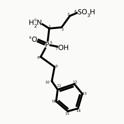 NC(CCS(=O)(=O)O)P(=O)(O)CCCc1ccccc1